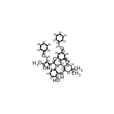 Cc1onc(C(=O)N2c3cccc(O)c3NC3=C(C(=O)CC(C)(C)C3)C2c2ccc(OCc3ccccc3)cc2F)c1COc1ccccc1